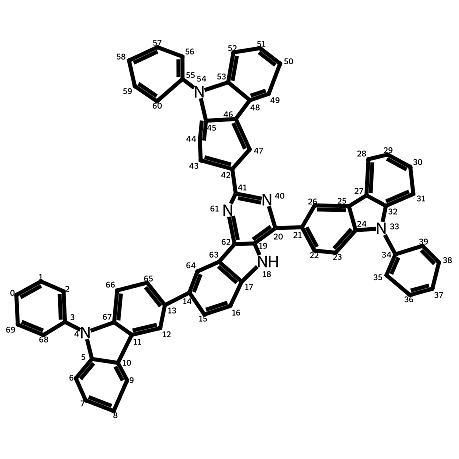 c1ccc(-n2c3ccccc3c3cc(-c4ccc5[nH]c6c(-c7ccc8c(c7)c7ccccc7n8-c7ccccc7)nc(-c7ccc8c(c7)c7ccccc7n8-c7ccccc7)nc6c5c4)ccc32)cc1